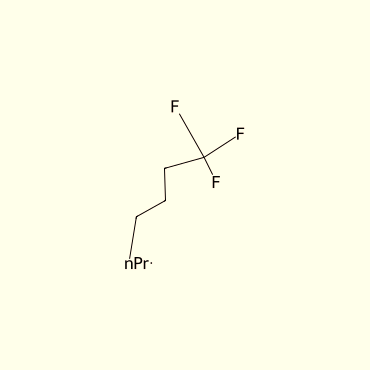 CC[CH]CCCC(F)(F)F